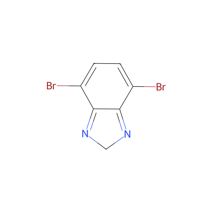 Brc1ccc(Br)c2c1=NCN=2